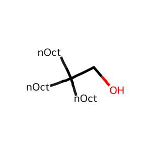 CCCCCCCCC(CO)(CCCCCCCC)CCCCCCCC